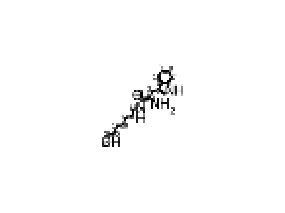 N[C@@H](Cc1c[nH]c2ccccc12)C(=O)NCCCCCCCO